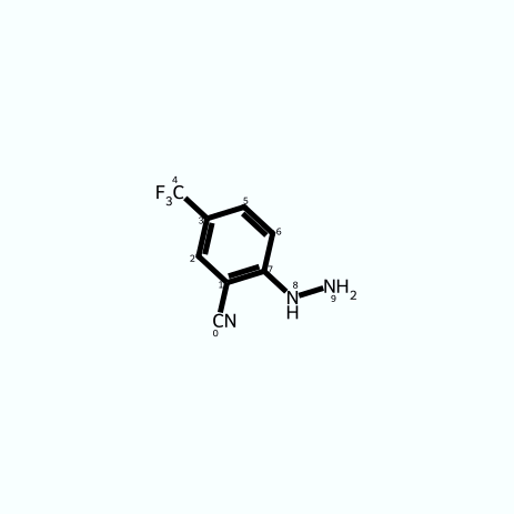 N#Cc1cc(C(F)(F)F)ccc1NN